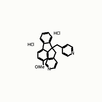 COc1ccc2c(c1)C(Cc1ccncc1)(Cc1ccncc1)c1ccccc1-2.Cl.Cl